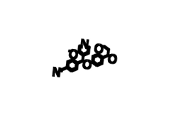 COc1cnccc1C(Oc1ccc2c(c1)OCCC2=O)c1ccc(C#N)cc1